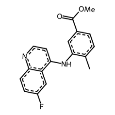 COC(=O)c1ccc(C)c(Nc2ccnc3ccc(F)cc23)c1